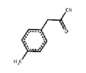 Cc1ccc(CC(=O)C#N)cc1